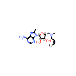 CC/C=C\CN(C)C[C@H]1O[C@@H](n2c(C)nc3c(N)ncnc32)[C@H](O)[C@@H]1O